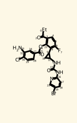 CCC(=O)c1ccc(F)c(C2CC2NC(=O)Nc2ccc(Br)cn2)c1OC(=O)c1ccc(Cl)c(N)c1